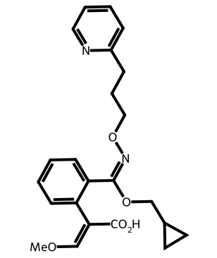 CO/C=C(/C(=O)O)c1ccccc1/C(=N\OCCCc1ccccn1)OCC1CC1